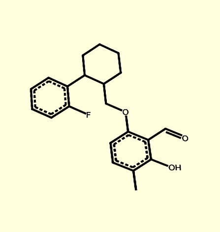 Cc1ccc(OCC2CCCCC2c2ccccc2F)c(C=O)c1O